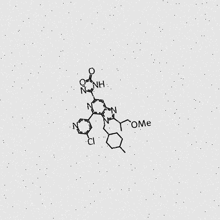 COCC(C)c1nc2cc(-c3noc(=O)[nH]3)nc(-c3cncc(Cl)c3)c2n1CC1CCC(C)CC1